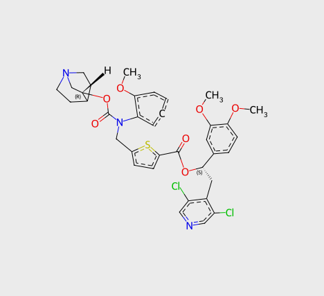 COc1ccc([C@H](Cc2c(Cl)cncc2Cl)OC(=O)c2ccc(CN(C(=O)O[C@H]3CN4CCC3CC4)c3ccccc3OC)s2)cc1OC